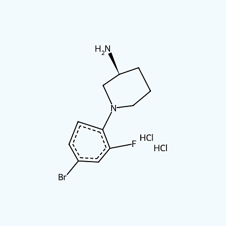 Cl.Cl.N[C@H]1CCCN(c2ccc(Br)cc2F)C1